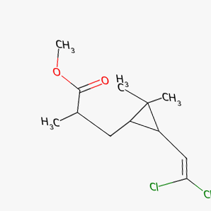 COC(=O)C(C)CC1C(C=C(Cl)Cl)C1(C)C